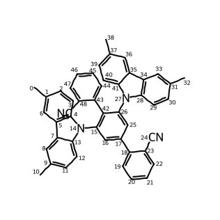 Cc1ccc2c(c1)c1cc(C)ccc1n2-c1cc(-c2ccccc2C#N)cc(-n2c3ccc(C)cc3c3cc(C)ccc32)c1-c1ccccc1C#N